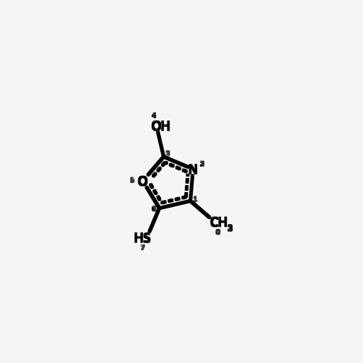 Cc1nc(O)oc1S